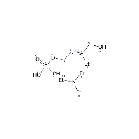 CC/C(=C\COP(=O)(O)O)CO.CCN(CC)CC